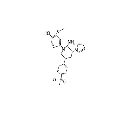 COc1cc(N2CC(c3ccc(S(C)(=O)=O)cc3)CC(n3cccc3)C2N)ccc1O